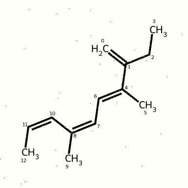 C=C(CC)/C(C)=C/C=C(C)\C=C/C